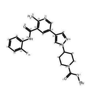 CC(C)(C)OC(=O)N1CCC(n2cc(-c3cnc(N)c(C(=O)Nc4ccccc4F)c3)cn2)CC1